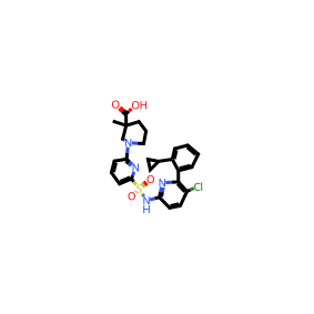 CC1(C(=O)O)CCCN(c2cccc(S(=O)(=O)Nc3ccc(Cl)c(-c4ccccc4C4CC4)n3)n2)C1